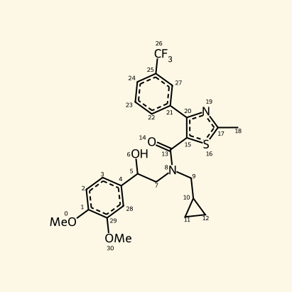 COc1ccc(C(O)CN(CC2CC2)C(=O)c2sc(C)nc2-c2cccc(C(F)(F)F)c2)cc1OC